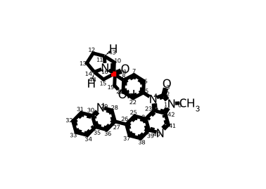 Cn1c(=O)n(-c2ccc(C3=C[C@@H]4CC[C@H](C3)N4C(=O)CO)cc2)c2c3cc(-c4cnc5ccccc5c4)ccc3ncc21